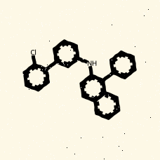 Clc1ccccc1-c1cccc(Nc2ccc3ccccc3c2-c2ccccc2)c1